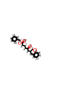 O=CC(CC(=O)CCCC(=O)OCc1ccccc1)Cc1ccccc1